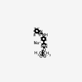 CC(C)(COc1ncc(-c2ccc(Nc3nc4cccc(F)c4s3)cc2)cn1)C(=O)[O-].[Na+]